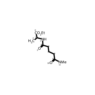 CCOC(=O)C(C)NC(=O)CCCC(=O)NC